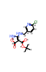 CC(C)(C)OC(=O)c1c(NCc2ccc(Cl)nc2)[nH]oc1=O